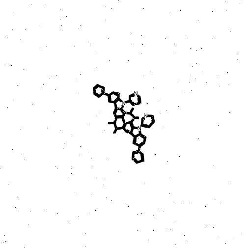 CC1c2cc3c4cc(-c5ccccc5)ccc4n(-c4cccnc4)c3c3c2-c2c(cc4c5cc(-c6ccccc6)ccc5n(-c5cccnc5)c4c2C(C)C3C)C1C